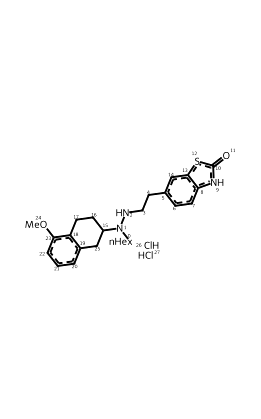 CCCCCCN(NCCc1ccc2[nH]c(=O)sc2c1)C1CCc2c(cccc2OC)C1.Cl.Cl